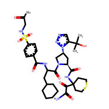 CC(C)(C)C(=O)CNS(=O)(=O)c1ccc(C(=O)NC(CC2CCCCC2)C(=O)N2C[C@@H](n3nncc3C(C)(C)O)C[C@H]2C(=O)NC2(C(=O)C(N)=O)CCSCC2)cc1